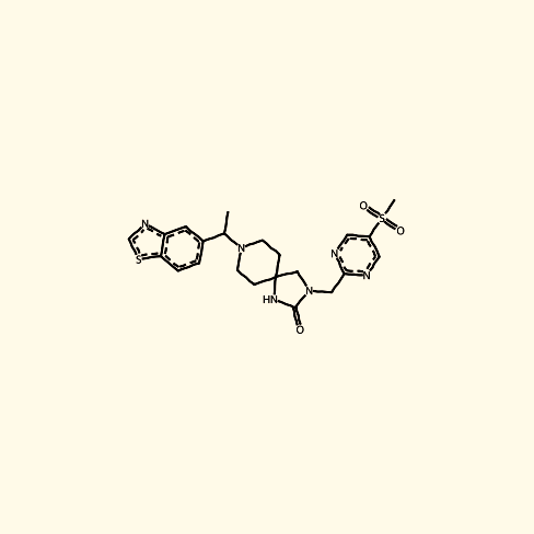 CC(c1ccc2scnc2c1)N1CCC2(CC1)CN(Cc1ncc(S(C)(=O)=O)cn1)C(=O)N2